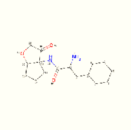 NC(CC1CCCCC1)C(=O)NC12CCCC1OCC2=O